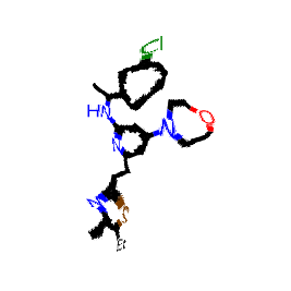 CCc1sc(CCc2cc(N3CCOCC3)cc(NC(C)c3cccc(Cl)c3)n2)nc1C